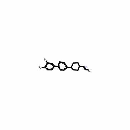 Fc1cc(-c2ccc(C3CCC(/C=C/Cl)CC3)cc2)ccc1Br